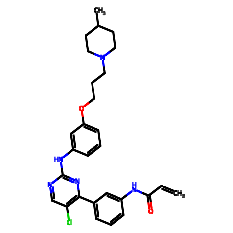 C=CC(=O)Nc1cccc(-c2nc(Nc3cccc(OCCCN4CCC(C)CC4)c3)ncc2Cl)c1